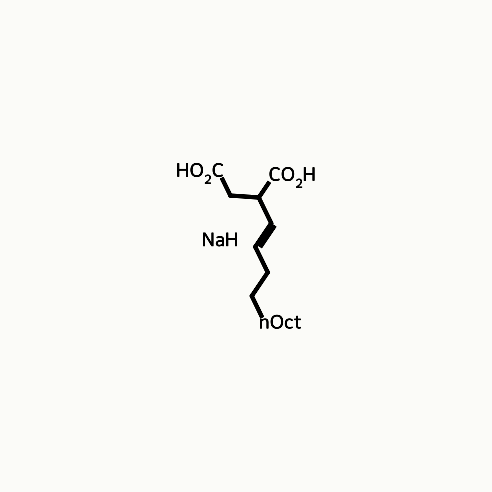 CCCCCCCCCC/C=C/C(CC(=O)O)C(=O)O.[NaH]